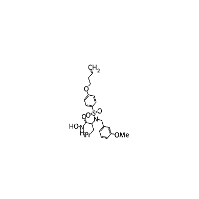 C=CCCOc1ccc(S(=O)(=O)N(Cc2cccc(OC)c2)C(CC(C)C)C(=O)NO)cc1